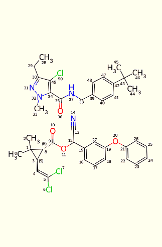 CC1(C)[C@H](C=C(Cl)Cl)[C@H]1C(=O)OC(C#N)c1cccc(Oc2ccccc2)c1.CCc1nn(C)c(C(=O)NCc2ccc(C(C)(C)C)cc2)c1Cl